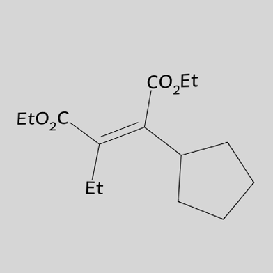 CCOC(=O)C(CC)=C(C(=O)OCC)C1CCCC1